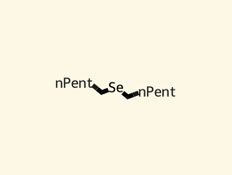 CCCCCC[Se]CCCCCC